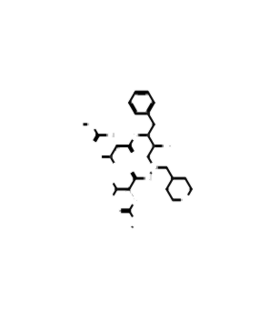 COC(=O)N[C@H](C(=O)NC(Cc1ccccc1)C(O)CN(CC1CCOCC1)NC(=O)[C@@H](NC(=O)OC)C(C)C)C(C)C